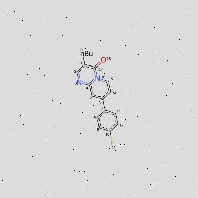 CCCCc1cnc2cc(-c3ccc(F)cc3)ccn2c1=O